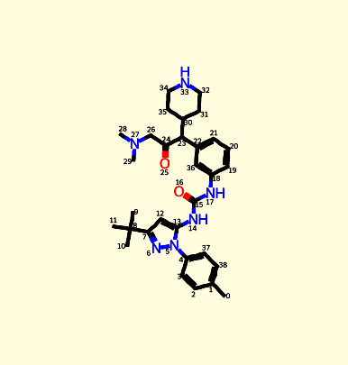 Cc1ccc(-n2nc(C(C)(C)C)cc2NC(=O)Nc2cccc(C(C(=O)CN(C)C)C3CCNCC3)c2)cc1